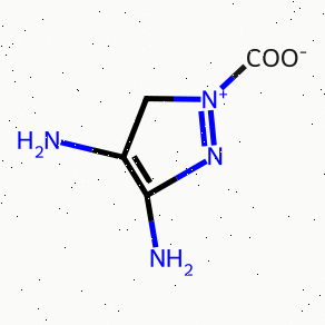 NC1=C(N)N=[N+](C(=O)[O-])C1